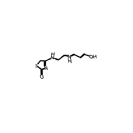 O=C1N=C(NCCNCCCO)CS1